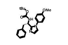 COc1ccc(-n2ccnc2[C@H](Cc2ccccc2)NC(=O)OC(C)(C)C)cc1